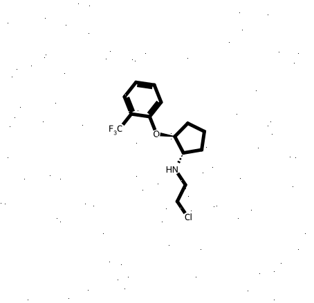 FC(F)(F)c1ccccc1O[C@H]1CCC[C@@H]1NCCCl